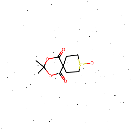 CC1(C)OC(=O)C2(CC[S+]([O-])CC2)C(=O)O1